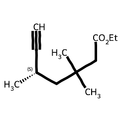 C#C[C@@H](C)CC(C)(C)CC(=O)OCC